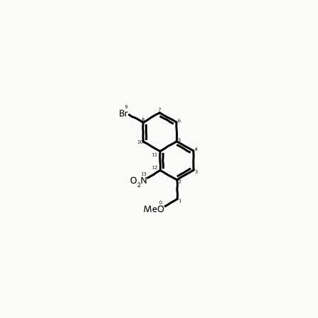 COCc1ccc2ccc(Br)cc2c1[N+](=O)[O-]